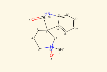 CCC[N+]1([O-])CCCC2(C1)C(=O)Nc1ccccc12